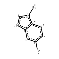 CCn1[c]nc2cc(Br)cnc21